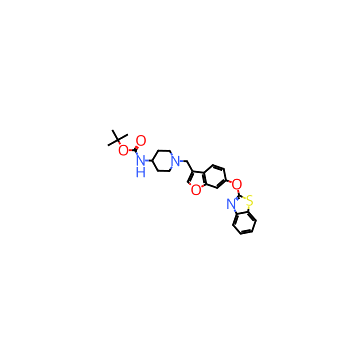 CC(C)(C)OC(=O)NC1CCN(Cc2coc3cc(Oc4nc5ccccc5s4)ccc23)CC1